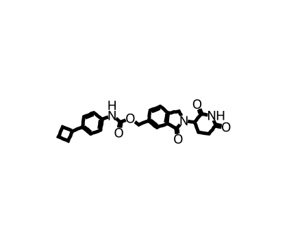 O=C1CCC(N2Cc3ccc(COC(=O)Nc4ccc(C5CCC5)cc4)cc3C2=O)C(=O)N1